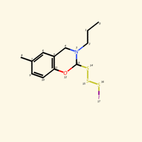 CCCN1Cc2cc(C)ccc2OC1SSSI